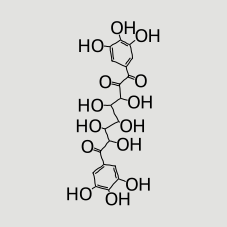 O=C(C(=O)C(O)C(O)C(O)C(O)C(O)C(=O)c1cc(O)c(O)c(O)c1)c1cc(O)c(O)c(O)c1